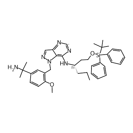 CCC[C@@H](CCO[Si](c1ccccc1)(c1ccccc1)C(C)(C)C)Nc1n[c]nc2cnn(Cc3cc(C(C)(C)N)ccc3OC)c12